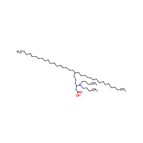 CCCCCCCCCCCCCCCCCCC(CCCCCCCCCCCCCCC)CCCC(CC(=O)O)N(CCCC)CCCC